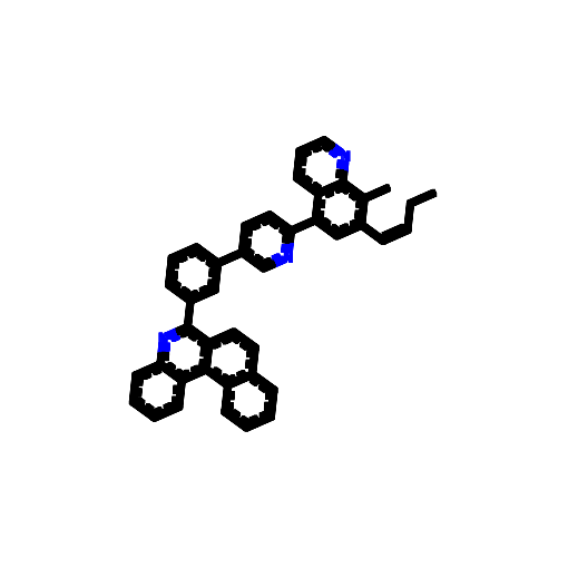 CC/C=C\c1cc(-c2ccc(-c3cccc(-c4nc5ccccc5c5c4ccc4ccccc45)c3)cn2)c2cccnc2c1C